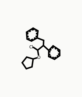 ClC(OC1CCCC1)C(Cc1ccccc1)c1ccccc1